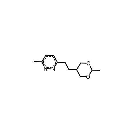 Cc1ccc(CCC2COC(C)OC2)nn1